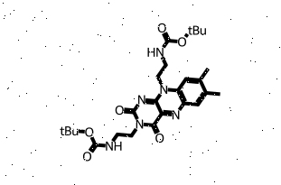 Cc1cc2nc3c(=O)n(CCNC(=O)OC(C)(C)C)c(=O)nc-3n(CCNC(=O)OC(C)(C)C)c2cc1C